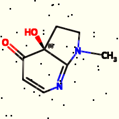 CN1CC[C@@]2(O)C(=O)C=CN=C12